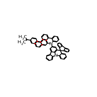 C=C(C)c1ccc(-c2ccc(N(c3cc4c5c(c3)c3ccccc3n5-c3ccccc3C43c4ccccc4-c4ccccc43)c3ccccc3-c3cccc(-c4ccccc4)c3)cc2)cc1